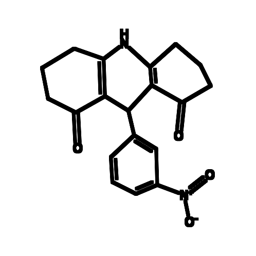 O=C1CCCC2=C1C(c1cccc([N+](=O)[O-])c1)C1=C(CCCC1=O)N2